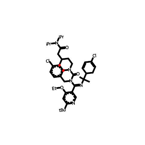 CCOc1cc(C(C)(C)C)ncc1/C(=N/C(C)(C)C1C=CC(Cl)=CC1)N(Cc1ccc(Cl)cc1)C(=O)N1CCC(CC(=O)N(C(C)C)C(C)C)CC1